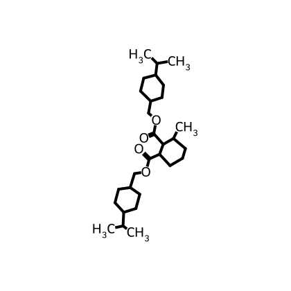 CC(C)C1CCC(COC(=O)C2CCCC(C)C2C(=O)OCC2CCC(C(C)C)CC2)CC1